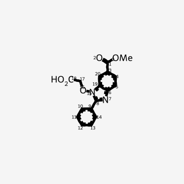 COC(=O)c1ccc2nc(-c3ccccc3)n(OCC(=O)O)c2c1